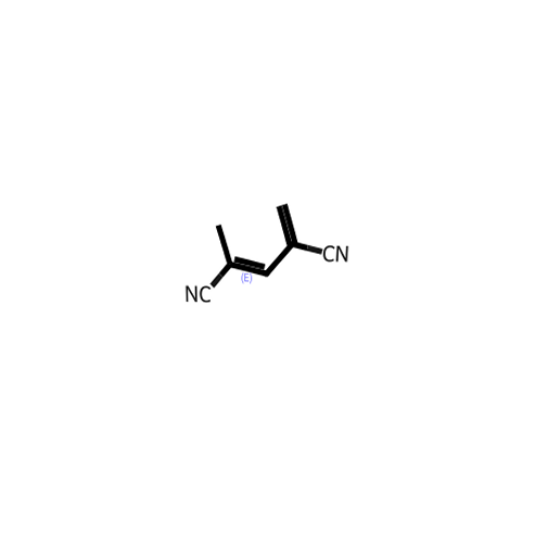 C=C(C#N)/C=C(\C)C#N